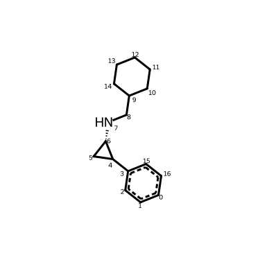 c1ccc(C2C[C@@H]2NCC2CCCCC2)cc1